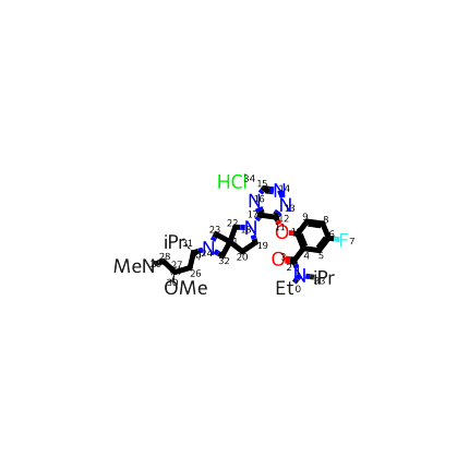 CCN(C(=O)c1cc(F)ccc1Oc1nncnc1N1CCC2(C1)CN([C@H](C[C@@H](CNC)OC)C(C)C)C2)C(C)C.Cl